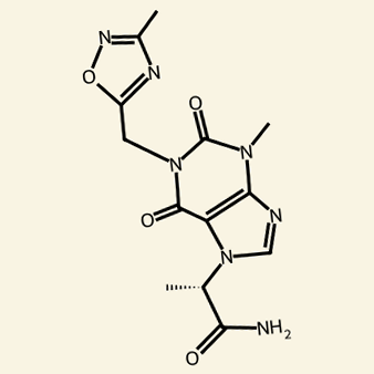 Cc1noc(Cn2c(=O)c3c(ncn3[C@@H](C)C(N)=O)n(C)c2=O)n1